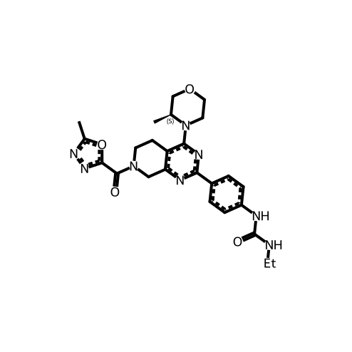 CCNC(=O)Nc1ccc(-c2nc3c(c(N4CCOC[C@@H]4C)n2)CCN(C(=O)c2nnc(C)o2)C3)cc1